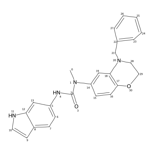 CN(C(=O)Nc1ccc2cc[nH]c2c1)c1ccc2c(c1)N(Cc1ccccc1)CCO2